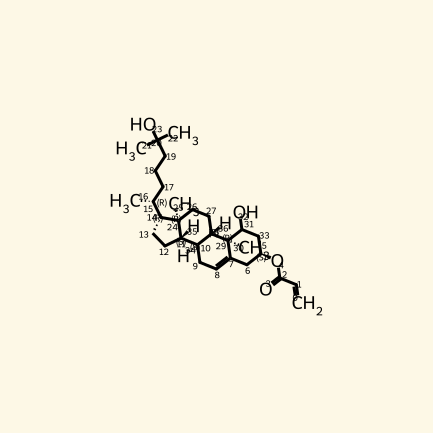 C=CC(=O)O[C@H]1CC2=CC[C@H]3[C@@H]4CC[C@H]([C@H](C)CCCC(C)(C)O)[C@@]4(C)CC[C@@H]3[C@@]2(C)C(O)C1